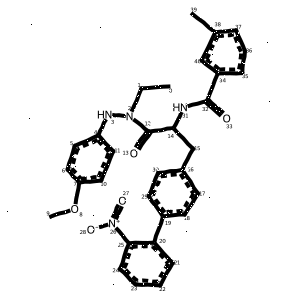 CCN(Nc1ccc(OC)cc1)C(=O)C(Cc1ccc(-c2ccccc2[N+](=O)[O-])cc1)NC(=O)c1cccc(C)c1